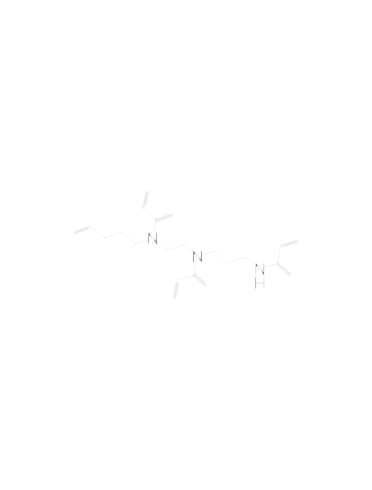 C=CCCCN(CCN(CCCNC(=C)C=C)C(=C)C=C)C(=C)C=C